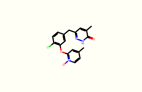 Cc1cc[n+]([O-])c(Oc2cc(Cc3cc(C)c(=O)[nH]n3)ccc2Cl)c1